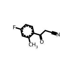 Cc1cc(F)ccc1C(=O)CC#N